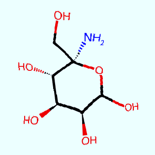 N[C@]1(CO)OC(O)[C@@H](O)[C@@H](O)[C@@H]1O